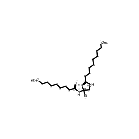 CCCCCCCCCCCCCCCCCCC1=NC(CC)(NC(=O)CCCCCCCCCCCCCCCCC)CN1